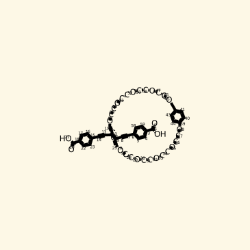 O=C(O)c1ccc(C#Cc2cc3c(C#Cc4ccc(C(=O)O)cc4)cc2OCCOCCOCCOCCOc2ccc(cc2)OCCOCCOCCOCCO3)cc1